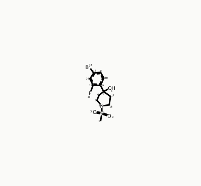 CS(=O)(=O)N1CCC(O)(c2ccc(Br)cc2F)CC1